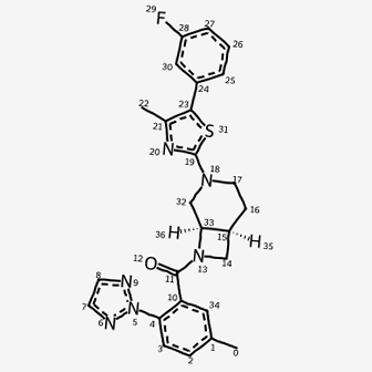 Cc1ccc(-n2nccn2)c(C(=O)N2C[C@@H]3CCN(c4nc(C)c(-c5cccc(F)c5)s4)C[C@@H]32)c1